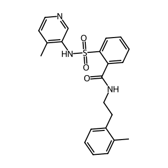 Cc1ccccc1CCNC(=O)c1ccccc1S(=O)(=O)Nc1cnccc1C